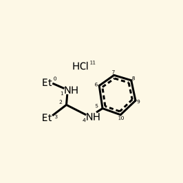 CCNC(CC)Nc1ccccc1.Cl